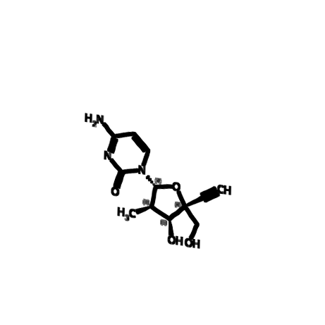 C#C[C@]1(CO)O[C@@H](n2ccc(N)nc2=O)[C@H](C)[C@@H]1O